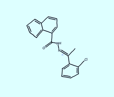 C/C(=N\NC(=O)c1cccc2ccccc12)c1ccccc1Cl